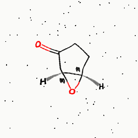 O=C1CC[C@H]2O[C@@H]12